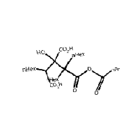 CCCCCCC(C(=O)O)C(O)(C(=O)O)C(CCCCCC)(CCCCCC)C(=O)OC(=O)CCC